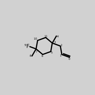 C=CCC1(C)CCC(C)(F)CC1